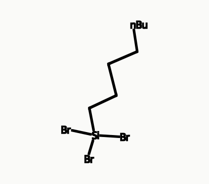 CCCCCCCC[Si](Br)(Br)Br